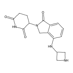 O=C1CCC(N2Cc3c(NC4CNC4)cccc3C2=O)C(=O)N1